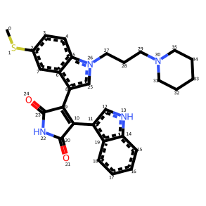 CSc1ccc2c(c1)c(C1=C(c3c[nH]c4ccccc34)C(=O)NC1=O)cn2CCCN1CCCCC1